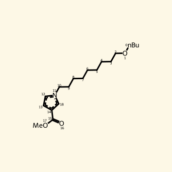 CCCCOCCCCCCCCCn1ccc(C(=O)OC)c1